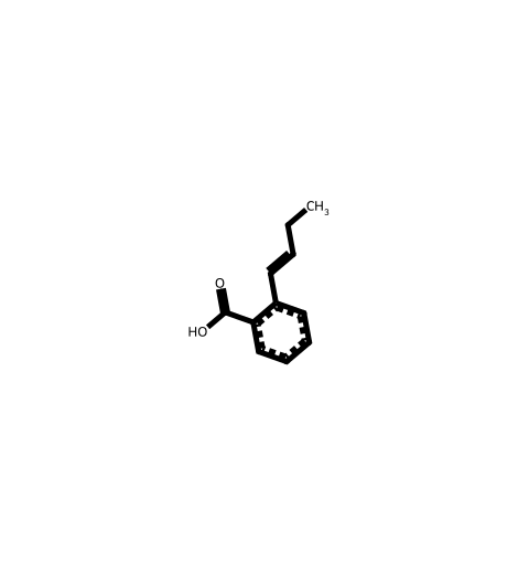 CCC=Cc1ccccc1C(=O)O